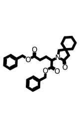 O=C(CCC(C(=O)OCc1ccccc1)N1CC2(CCCCC2)CC1=O)OCc1ccccc1